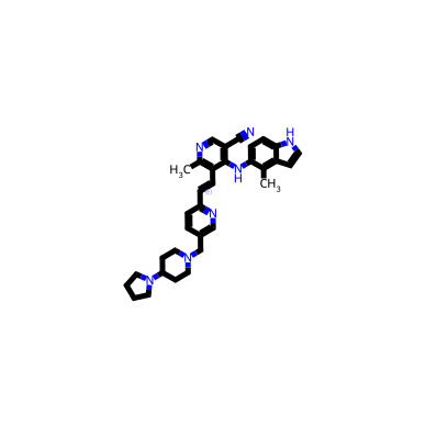 Cc1ncc(C#N)c(Nc2ccc3[nH]ccc3c2C)c1/C=C/c1ccc(CN2CCC(N3CCCC3)CC2)cn1